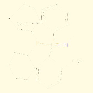 CN=P(c1ccccc1OC)(c1ccccc1OC)P(C1CCCCC1)C1CCCCC1